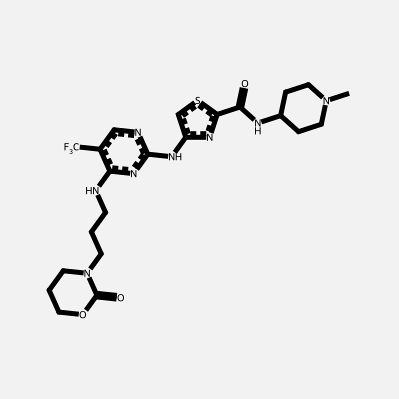 CN1CCC(NC(=O)c2nc(Nc3ncc(C(F)(F)F)c(NCCCN4CCCOC4=O)n3)cs2)CC1